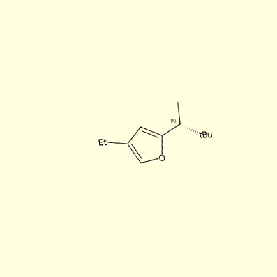 CCc1coc([C@H](C)C(C)(C)C)c1